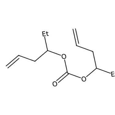 C=CCC(CC)OC(=O)OC(CC)CC=C